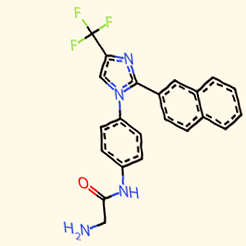 NCC(=O)Nc1ccc(-n2cc(C(F)(F)F)nc2-c2ccc3ccccc3c2)cc1